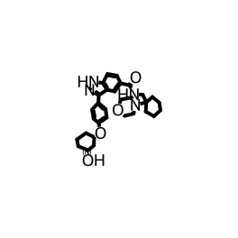 O=C(NCC1(N2CCOCC2)CCCCC1)c1ccc2[nH]nc(-c3ccc(OC4CCC[C@@H](O)C4)cc3)c2c1